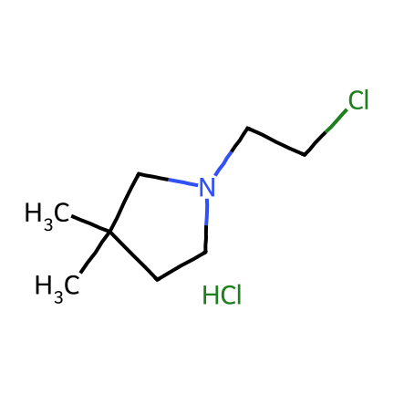 CC1(C)CCN(CCCl)C1.Cl